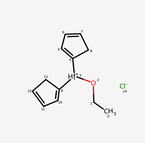 CC[O][Hf+]([C]1=CC=CC1)[C]1=CC=CC1.[Cl-]